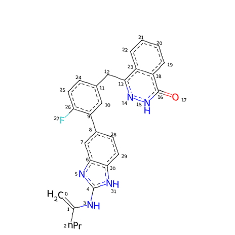 C=C(CCC)Nc1nc2cc(-c3cc(Cc4n[nH]c(=O)c5ccccc45)ccc3F)ccc2[nH]1